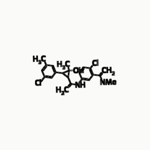 C=C(NC)c1cc(NC(=C)C2C(c3cc(C)cc(Cl)c3)C2(C)O)ccc1Cl